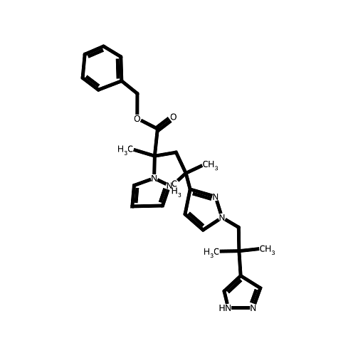 CC(C)(Cn1ccc(C(C)(C)CC(C)(C(=O)OCc2ccccc2)n2cccn2)n1)c1cn[nH]c1